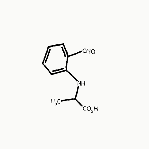 CC(Nc1ccccc1C=O)C(=O)O